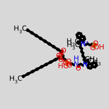 CC#CC#CC#CC#CC#CC#CC#CC#CC(=O)OCC(COP(=O)(O)OCCNC(=O)CCN1/C(=C/C=C/C=C/C=C/C2=[N+](CCCCS(=O)(=O)O)c3ccc4ccccc4c3C2(C)C)C(C)(C)c2c1ccc1ccccc21)OC(=O)C#CC#CC#CC#CC#CC#CC#CC#CC